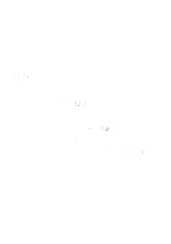 NCCNC(=O)NCC(=O)O